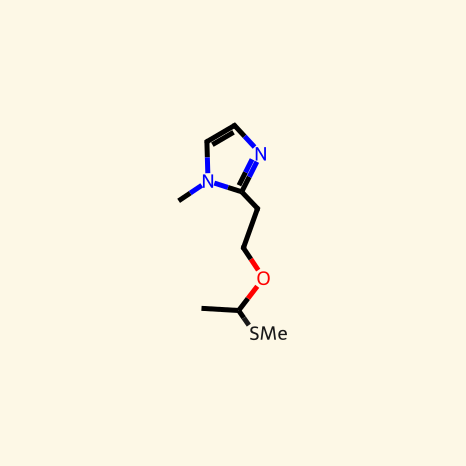 CSC(C)OCCc1nccn1C